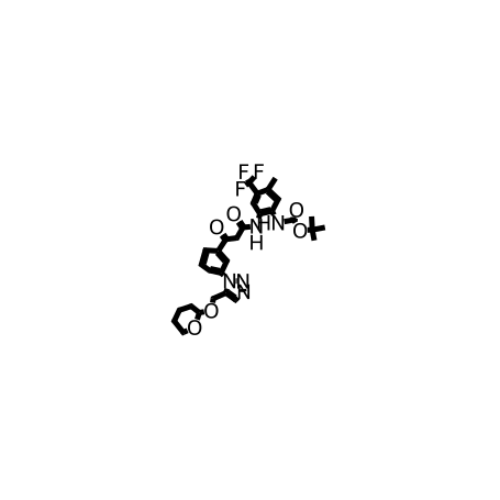 Cc1cc(NC(=O)OC(C)(C)C)c(NC(=O)CC(=O)c2cccc(-n3nncc3COC3CCCCO3)c2)cc1C(F)(F)F